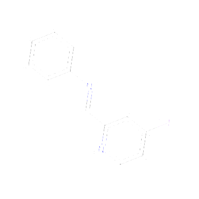 [123I]c1ccnc(/C=N/c2ccccc2)c1